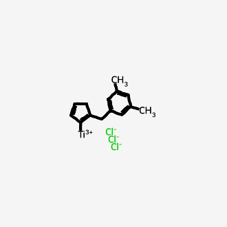 Cc1cc(C)cc(CC2=[C]([Ti+3])C=CC2)c1.[Cl-].[Cl-].[Cl-]